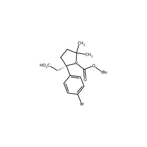 CC(C)(C)OC(=O)N1C(C)(C)CC[C@]1(CC(=O)O)c1ccc(Br)cc1